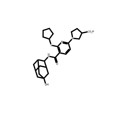 O=C(NC1C2CC3CC1CC(O)(C3)C2)c1ccc(N2CCC(C(=O)O)C2)nc1SC1CCCC1